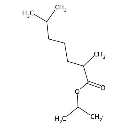 [CH2]C([CH2])OC(=O)C(C)CCCC(C)C